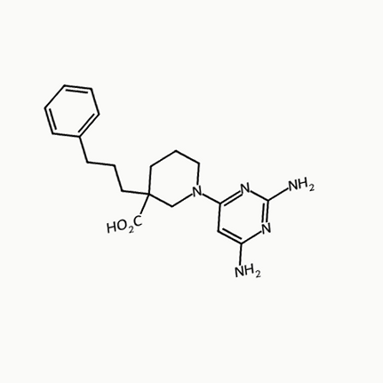 Nc1cc(N2CCCC(CCCc3ccccc3)(C(=O)O)C2)nc(N)n1